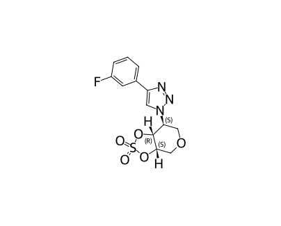 O=S1(=O)O[C@H]2[C@H](COC[C@@H]2n2cc(-c3cccc(F)c3)nn2)O1